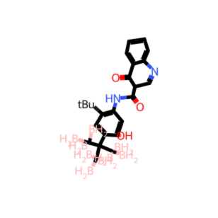 BC(B)(B)C(c1cc(C(C)(C)C)c(NC(=O)C2C=Nc3ccccc3C2=O)cc1O)(C(B)(B)B)C(B)(B)B